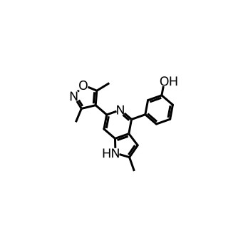 Cc1cc2c(-c3cccc(O)c3)nc(-c3c(C)noc3C)cc2[nH]1